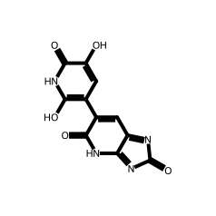 O=C1N=c2cc(-c3cc(O)c(=O)[nH]c3O)c(=O)[nH]c2=N1